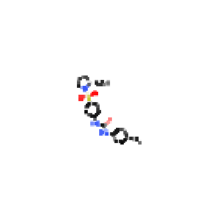 O=C(Nc1ccc(C(F)(F)F)cc1)Nc1ccc(S(=O)(=O)N2CCC[C@@H]2C(=O)O)cc1